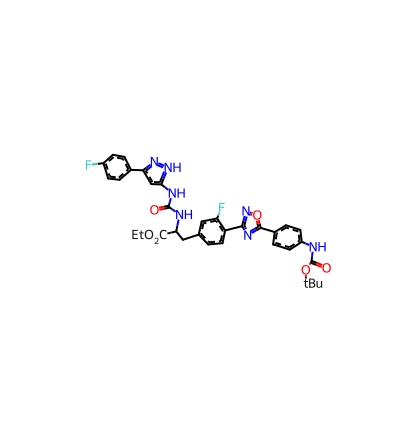 CCOC(=O)C(Cc1ccc(-c2noc(-c3ccc(NC(=O)OC(C)(C)C)cc3)n2)c(F)c1)NC(=O)Nc1cc(-c2ccc(F)cc2)n[nH]1